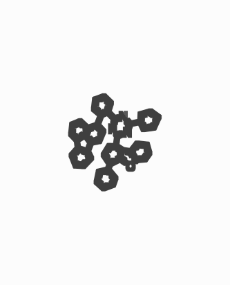 c1ccc(-c2nc(-c3ccccc3-c3ccc4c5c(cccc35)-c3ccccc3-4)nc(-c3ccc(-c4ccccc4)c4oc5ccccc5c34)n2)cc1